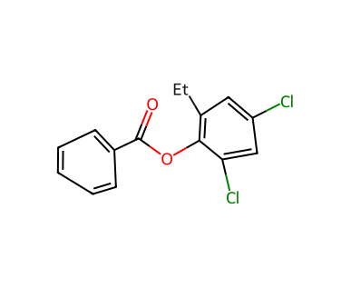 CCc1cc(Cl)cc(Cl)c1OC(=O)c1ccccc1